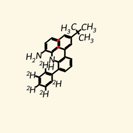 [2H]c1c([2H])c([2H])c(-c2cccc(-c3cccc(C(C)(C)C)c3)c2Nc2ccccc2N)c([2H])c1[2H]